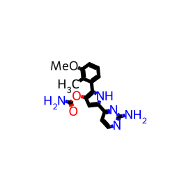 COc1cccc(-c2[nH]c(-c3ccnc(N)n3)cc2OC(N)=O)c1C